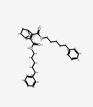 O=C(OCCCCCc1ccccc1)C1=C(C(=O)OCCCCCc2ccccc2)C2CCC1O2